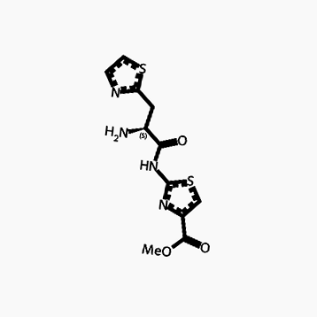 COC(=O)c1csc(NC(=O)[C@@H](N)Cc2nccs2)n1